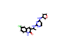 CC(Nc1nccc(NC2CCOC2)n1)c1cc2cc(Cl)ccc2[nH]c1=O